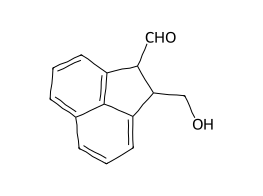 O=CC1c2cccc3cccc(c23)C1CO